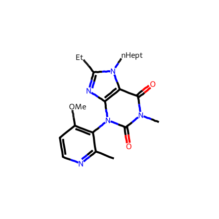 CCCCCCCn1c(CC)nc2c1c(=O)n(C)c(=O)n2-c1c(OC)ccnc1C